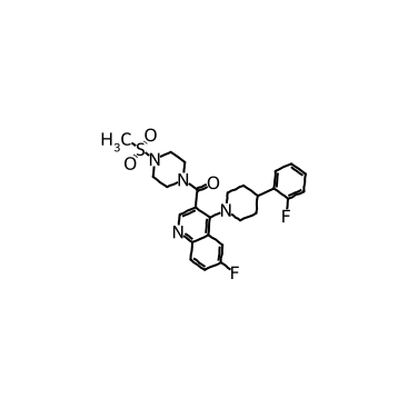 CS(=O)(=O)N1CCN(C(=O)c2cnc3ccc(F)cc3c2N2CCC(c3ccccc3F)CC2)CC1